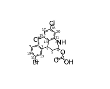 O=C(O)OC1CC(c2cccc(Br)c2)c2c(Cl)cc(Cl)cc2N1